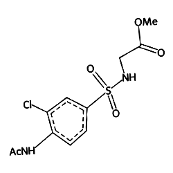 COC(=O)CNS(=O)(=O)c1ccc(NC(C)=O)c(Cl)c1